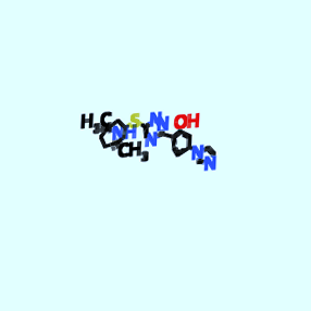 C[C@]12CC[C@](C)(CC(Sc3cnc(-c4ccc(-n5ccnc5)cc4O)nn3)C1)N2